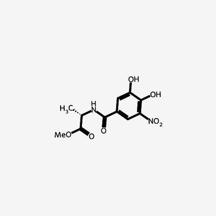 COC(=O)[C@H](C)NC(=O)c1cc(O)c(O)c([N+](=O)[O-])c1